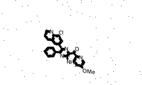 COc1ccc(C(=O)c2nc(-c3cc(Cl)c4ncccc4c3)c(-c3ccccc3)nc2N)nc1